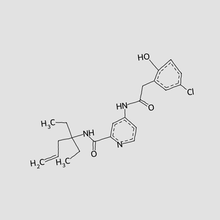 C=CCC(CC)(CC)NC(=O)c1cc(NC(=O)Cc2cc(Cl)ccc2O)ccn1